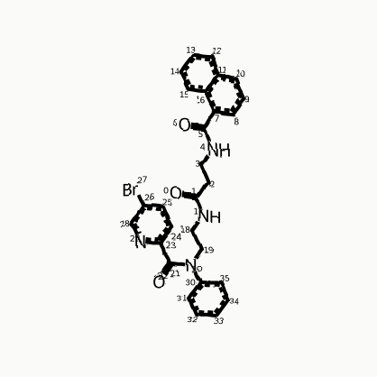 O=C(CCNC(=O)c1cccc2ccccc12)NCCN(C(=O)c1ccc(Br)cn1)c1ccccc1